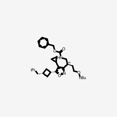 CCCCOCC[C@H](CNC(=O)OCc1ccccc1)c1noc([C@H]2C[C@@H](CC(C)C)C2)c1C1CC1